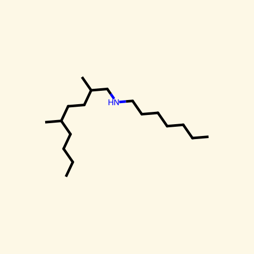 CCCCCCCNCC(C)CCC(C)CCCC